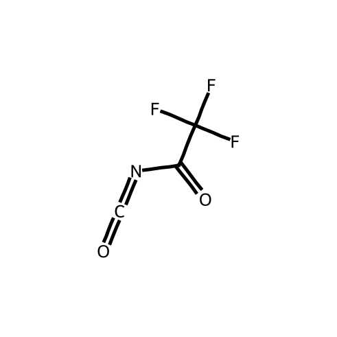 O=C=NC(=O)C(F)(F)F